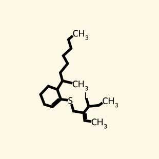 C/C=C(/CSC1=CCCCC1C(C)CCCCCC)C(I)CC